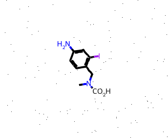 CN(Cc1ccc(N)cc1I)C(=O)O